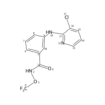 O=C(NOC(F)(F)F)c1cccc(Nc2ncccc2Cl)c1